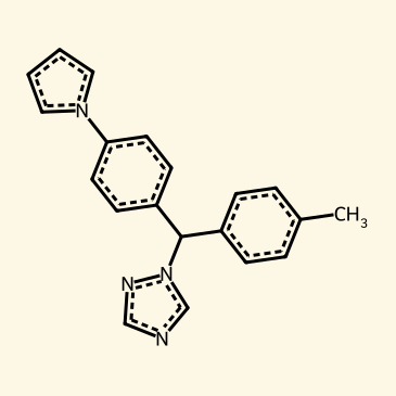 Cc1ccc(C(c2ccc(-n3cccc3)cc2)n2cncn2)cc1